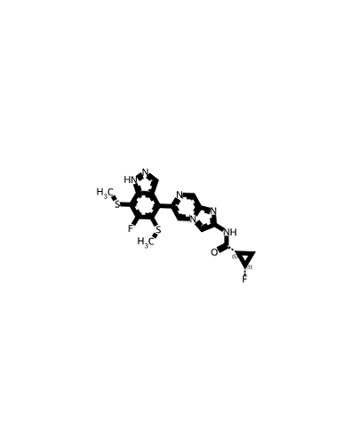 CSc1c(F)c(SC)c2[nH]ncc2c1-c1cn2cc(NC(=O)[C@@H]3C[C@@H]3F)nc2cn1